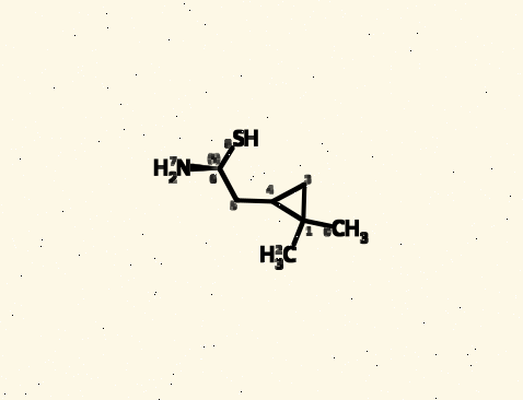 CC1(C)CC1C[C@@H](N)S